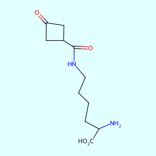 NC(CCCCNC(=O)C1CC(=O)C1)C(=O)O